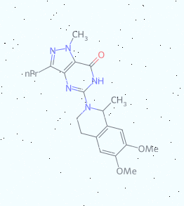 CCCc1nn(C)c2c(=O)[nH]c(N3CCc4cc(OC)c(OC)cc4C3C)nc12